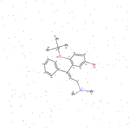 CC(C)N(CC=C(c1ccccc1)c1cc(Br)ccc1O[Si](C(C)C)(C(C)C)C(C)C)C(C)C